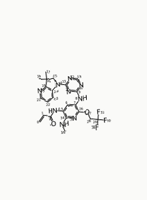 C=CC(=O)Nc1cc(Nc2ncnc(N3CC(C)(C)c4ncccc43)n2)c(OCC(F)(F)F)nc1NC